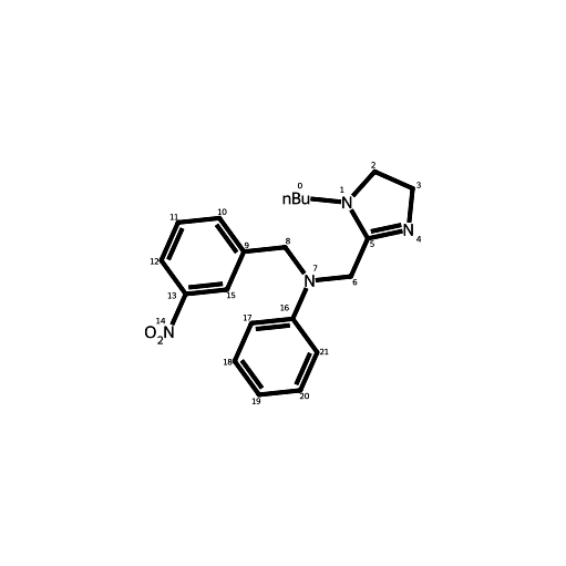 CCCCN1CCN=C1CN(Cc1cccc([N+](=O)[O-])c1)c1ccccc1